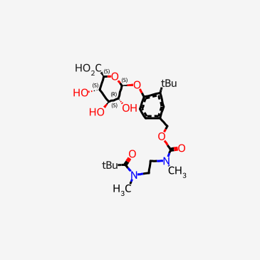 CN(CCN(C)C(=O)C(C)(C)C)C(=O)OCc1ccc(O[C@@H]2O[C@H](C(=O)O)[C@@H](O)[C@H](O)[C@H]2O)c(C(C)(C)C)c1